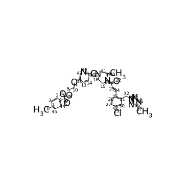 Cc1ccc(S(=O)(=O)OCCOc2ccc(CN3CCN(C(=O)C=Cc4ccc(Cl)cc4Cn4nnc(C)n4)[C@H](C)C3)nc2)cc1